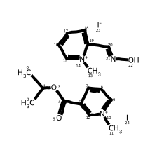 CC(C)OC(=O)c1ccc[n+](C)c1.C[n+]1ccccc1C=NO.[I-].[I-]